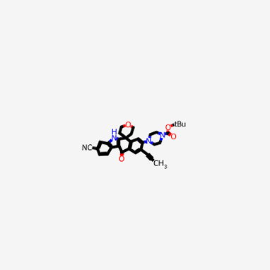 CC#Cc1cc2c(cc1N1CCN(C(=O)OC(C)(C)C)CC1)C1(CCOCC1)c1[nH]c3cc(C#N)ccc3c1C2=O